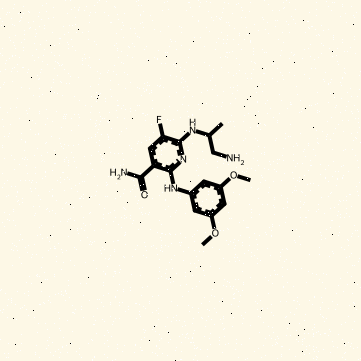 COc1cc(Nc2nc(NC(C)CN)c(F)cc2C(N)=O)cc(OC)c1